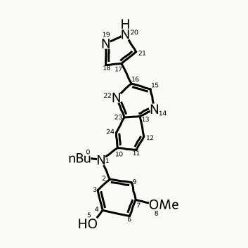 CCCCN(c1cc(O)cc(OC)c1)c1ccc2ncc(-c3cn[nH]c3)nc2c1